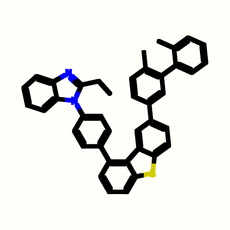 CCc1nc2ccccc2n1-c1ccc(-c2cccc3sc4ccc(-c5ccc(C)c(-c6ccccc6C)c5)cc4c23)cc1